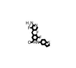 Nc1nccc(Cc2cc([C]=O)c(Nc3ccc4sccc4c3)c(F)c2F)c1F